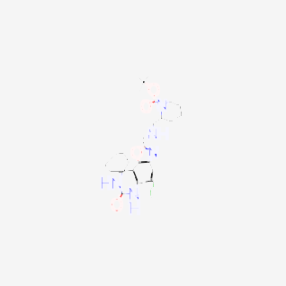 CC(C)(C)OC(=O)N1CCCCC1CNCc1nc2cc(Cl)c3c(c2o1)C1(CCCCC1)NC(=O)N3